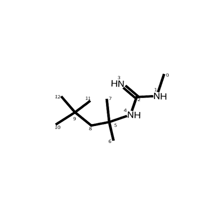 CNC(=N)NC(C)(C)CC(C)(C)C